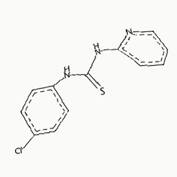 S=C(Nc1ccc(Cl)cc1)Nc1ccccn1